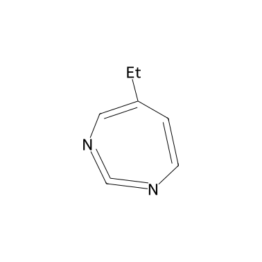 CCC1=CN=C=NC=C1